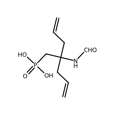 C=CCC(CC=C)(CP(=O)(O)O)NC=O